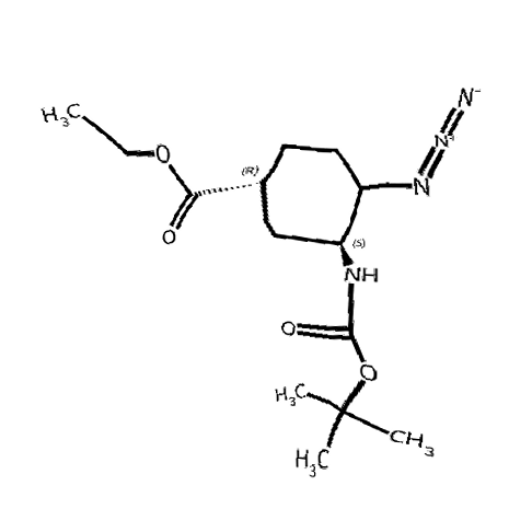 CCOC(=O)[C@@H]1CCC(N=[N+]=[N-])[C@@H](NC(=O)OC(C)(C)C)C1